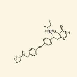 C[C@@H](CF)NC[C@H](Cc1nc[nH]c(=O)c1O)c1ccc(C#Cc2ccc(CN[C@H]3CCOC3)cc2)cc1